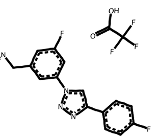 NCc1cc(F)cc(-n2cc(-c3ccc(F)cc3)nn2)c1.O=C(O)C(F)(F)F